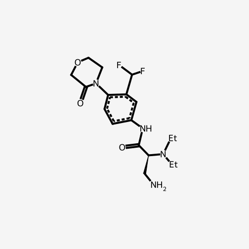 CCN(CC)[C@@H](CN)C(=O)Nc1ccc(N2CCOCC2=O)c(C(F)F)c1